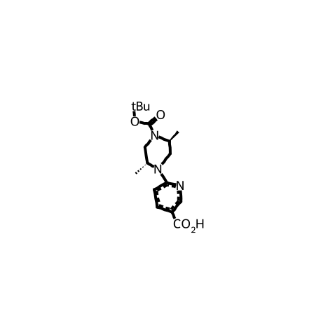 C[C@@H]1CN(C(=O)OC(C)(C)C)[C@@H](C)CN1c1ccc(C(=O)O)cn1